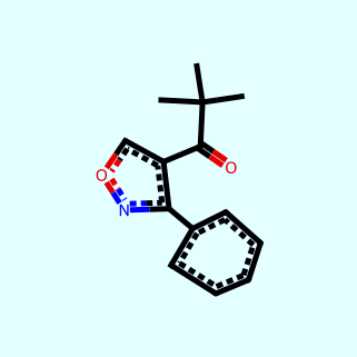 CC(C)(C)C(=O)c1conc1-c1ccccc1